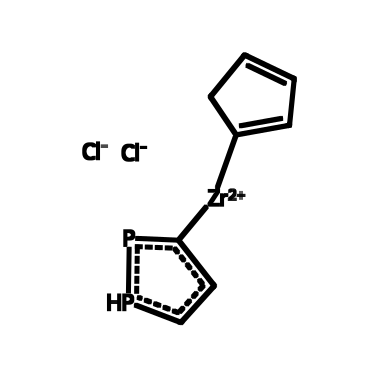 C1=CC[C]([Zr+2][c]2cc[pH]p2)=C1.[Cl-].[Cl-]